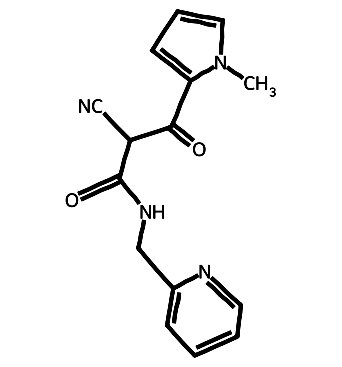 Cn1cccc1C(=O)C(C#N)C(=O)NCc1ccccn1